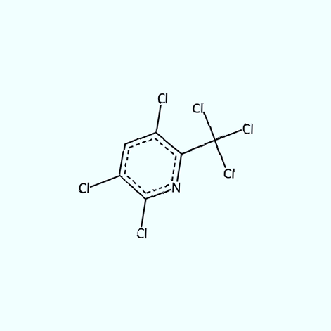 Clc1cc(Cl)c(C(Cl)(Cl)Cl)nc1Cl